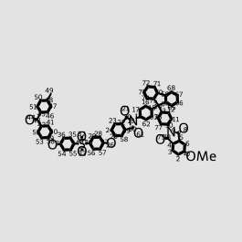 COc1ccc2c(c1)C(=O)N(c1ccc(C3(c4ccc(N5C(=O)c6ccc(Oc7ccc(S(=O)(=O)c8ccc(Oc9ccc(C(=O)c%10ccc(C)cc%10)cc9)cc8)cc7)cc6C5=O)cc4)c4ccccc4-c4ccccc43)cc1)C2=O